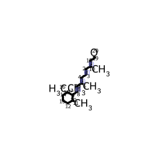 CC(/C=C/C=C(C)/C=C/C1C(C)CCCC1(C)C)=C\C=O